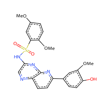 COc1ccc(OC)c(S(=O)(=O)Nc2cnc3ccc(-c4ccc(O)c(OC)c4)nc3n2)c1